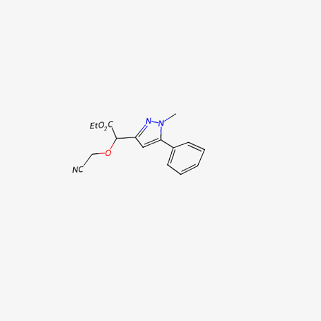 CCOC(=O)C(OCC#N)c1cc(-c2ccccc2)n(C)n1